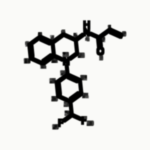 C=CC(=O)NC1Cc2ccccc2N(c2ccc(C(F)F)cc2)C1